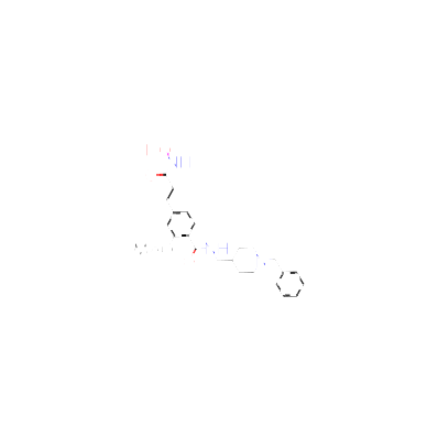 COc1cc(/C=C/C(=O)NO)ccc1C(=O)NCC1CCN(Cc2ccccc2)CC1